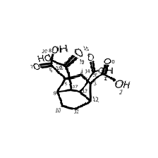 O=C(O)C1CC(C(=O)O)C2CCC1C(C(=O)O)C2C(=O)O